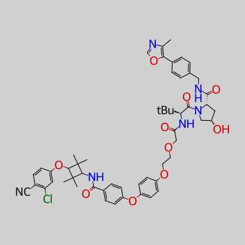 Cc1ncoc1-c1ccc(CNC(=O)[C@@H]2C[C@@H](O)CN2C(=O)[C@@H](NC(=O)COCCOc2ccc(Oc3ccc(C(=O)NC4C(C)(C)C(Oc5ccc(C#N)c(Cl)c5)C4(C)C)cc3)cc2)C(C)(C)C)cc1